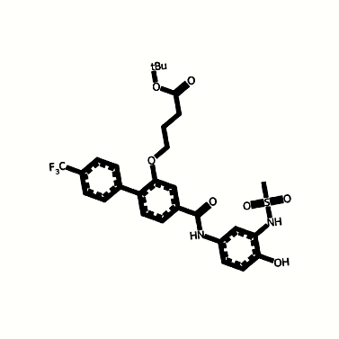 CC(C)(C)OC(=O)CCCOc1cc(C(=O)Nc2ccc(O)c(NS(C)(=O)=O)c2)ccc1-c1ccc(C(F)(F)F)cc1